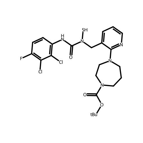 CC(C)(C)OC(=O)N1CCCN(c2ncccc2CN(S)C(=O)Nc2ccc(F)c(Cl)c2Cl)CC1